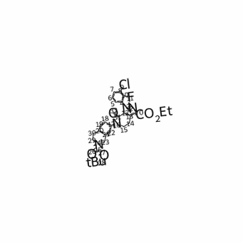 CCOC(=O)c1nn(-c2cccc(Cl)c2F)c2c1CCN(c1ccc3c(c1)CN(C(=O)OC(C)(C)C)CC3)C2=O